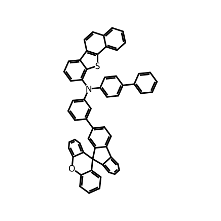 c1ccc(-c2ccc(N(c3cccc(-c4ccc5c(c4)C4(c6ccccc6Oc6ccccc64)c4ccccc4-5)c3)c3cccc4c3sc3c5ccccc5ccc43)cc2)cc1